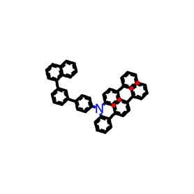 c1ccc(-c2ccc(-c3ccccc3N(c3ccc(-c4ccccc4)cc3)c3ccc(-c4cccc(-c5cccc6ccccc56)c4)cc3)cc2)cc1